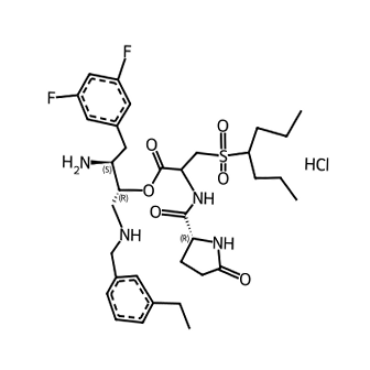 CCCC(CCC)S(=O)(=O)CC(NC(=O)[C@H]1CCC(=O)N1)C(=O)O[C@H](CNCc1cccc(CC)c1)[C@@H](N)Cc1cc(F)cc(F)c1.Cl